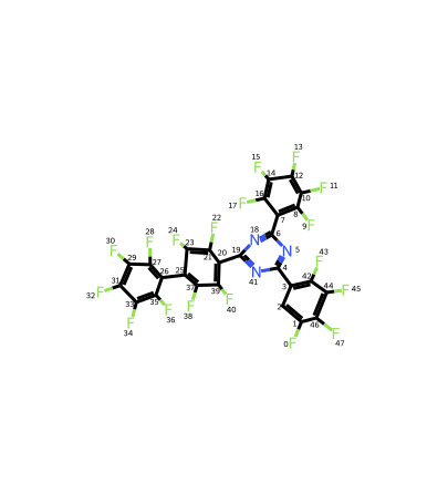 Fc1cc(-c2nc(-c3c(F)c(F)c(F)c(F)c3F)nc(-c3c(F)c(F)c(-c4c(F)c(F)c(F)c(F)c4F)c(F)c3F)n2)c(F)c(F)c1F